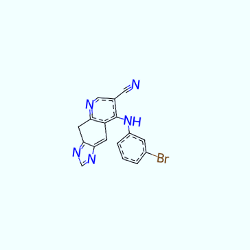 N#Cc1cnc2c(c1Nc1cccc(Br)c1)C=C1N=CN=C1C2